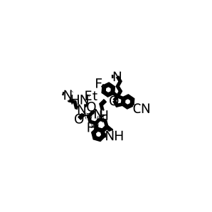 C=CCN1C[C@H](C(=O)N(CCCN(C)C)C(=O)NCC)C[C@@H]2c3cccc4[nH]cc(c34)C[C@H]21.CN(C)CCCC1(c2ccc(F)cc2)OCc2cc(C#N)ccc21